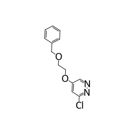 Clc1cc(OCCOCc2ccccc2)cnn1